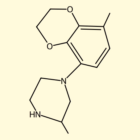 Cc1ccc(N2CCNC(C)C2)c2c1OCCO2